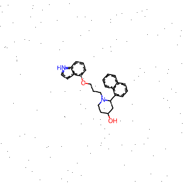 OC1CCN(CCCOc2cccc3[nH]ccc23)C(c2cccc3ccccc23)C1